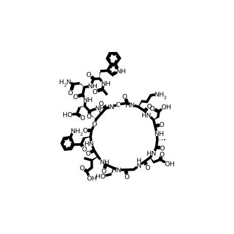 CC(=O)N[C@@H](Cc1c[nH]c2ccccc12)C(=O)N[C@@H](CC(N)=O)C(=O)N[C@@H](CC(=O)O)C(=O)N[C@@H]1C(=O)NCC(=O)N[C@@H](CCCN)C(=O)N[C@@H](CC(=O)O)C(=O)N[C@H](C)C(=O)N[C@@H](CC(=O)O)C(=O)NCC(=O)N[C@H](CO)C(=O)N[C@@H](C(C)CC(=O)O)C(=O)N[C@@H](CC(=O)c2ccccc2N)C(=O)O[C@@H]1C